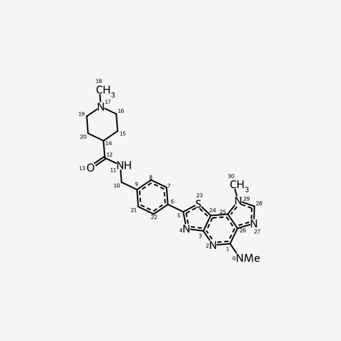 CNc1nc2nc(-c3ccc(CNC(=O)C4CCN(C)CC4)cc3)sc2c2c1ncn2C